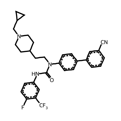 N#Cc1cccc(-c2ccc(N(CCC3CCN(CC4CC4)CC3)C(=O)Nc3ccc(F)c(C(F)(F)F)c3)cc2)c1